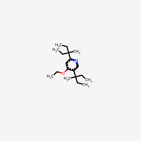 CCOc1cc(C(C)(CC)CC)ncc1C(C)(CC)CC